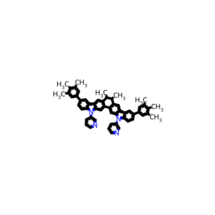 Cc1cc(-c2ccc3c(c2)c2cc4c(cc2n3-c2cccnc2)-c2cc3c(cc2C(C)C4C)c2cc(-c4cc(C)c(C)c(C)c4)ccc2n3-c2cccnc2)cc(C)c1C